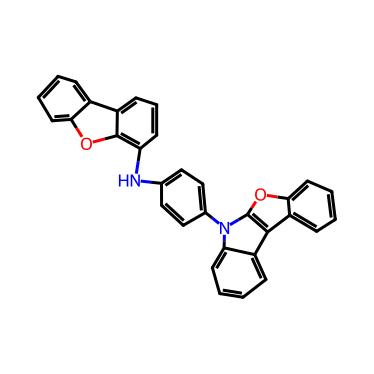 c1ccc2c(c1)oc1c(Nc3ccc(-n4c5ccccc5c5c6ccccc6oc54)cc3)cccc12